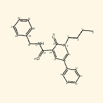 CCCCn1cc(-c2ccccc2)cc(C(=O)NCc2ccccc2)c1=O